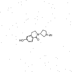 CC(C)N1CCC(N2CCc3cc(O)ccc3C2=O)C1